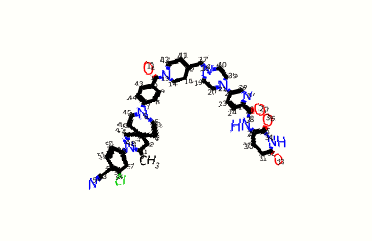 CC1CC2(CCN(c3ccc(C(=O)N4CCC(CN5CCN(c6ccc(C(=O)NC7CCC(=O)NC7=O)nc6)CC5)CC4)cc3)CC2)CN1c1ccc(C#N)c(Cl)c1